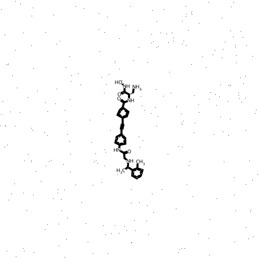 Cc1ccccc1C(C)NCC(=O)Nc1ccc(C#Cc2ccc(C(=O)N[C@@H](CN)C(=O)NO)cc2)cc1